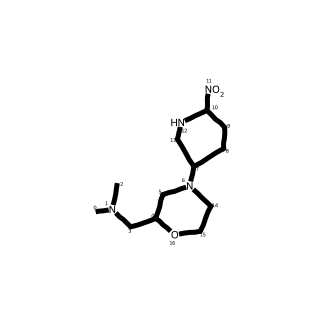 CN(C)CC1CN(C2CCC([N+](=O)[O-])NC2)CCO1